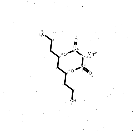 CCCCCCCCO.O=[PH]([O-])O[PH](=O)[O-].[Mg+2]